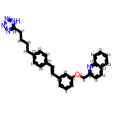 C(=Cc1cccc(OCc2ccc3ccccc3n2)c1)c1ccc(CCCCc2nnn[nH]2)cc1